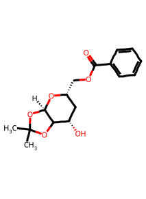 CC1(C)OC2[C@H](O[C@H](COC(=O)c3ccccc3)C[C@@H]2O)O1